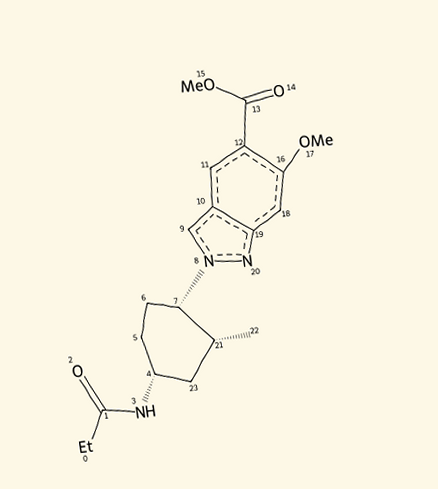 CCC(=O)N[C@@H]1CC[C@H](n2cc3cc(C(=O)OC)c(OC)cc3n2)[C@H](C)C1